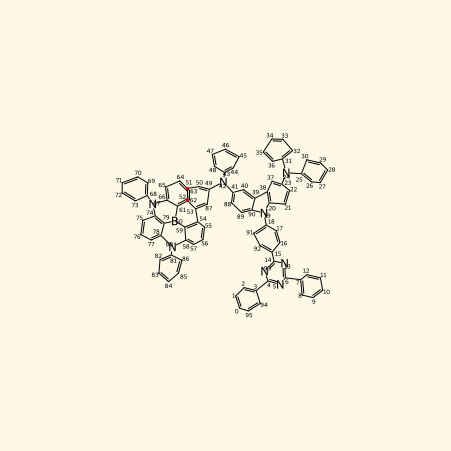 c1ccc(-c2nc(-c3ccccc3)nc(-c3ccc(-n4c5ccc(N(c6ccccc6)c6ccccc6)cc5c5cc(N(c6ccccc6)c6cccc(-c7cccc8c7B7c9ccccc9N(c9ccccc9)c9cccc(c97)N8c7ccccc7)c6)ccc54)cc3)n2)cc1